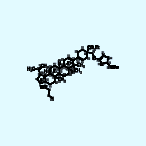 C=C(C)[C@@H]1CC[C@]2(NCCI)CC[C@]3(C)[C@H](CC[C@@H]4[C@@]5(C)CC=C(C6=CCC(COc7nsc(SC)n7)(C(=O)OCC)CC6)C(C)(C)[C@@H]5CC[C@]43C)[C@@H]12